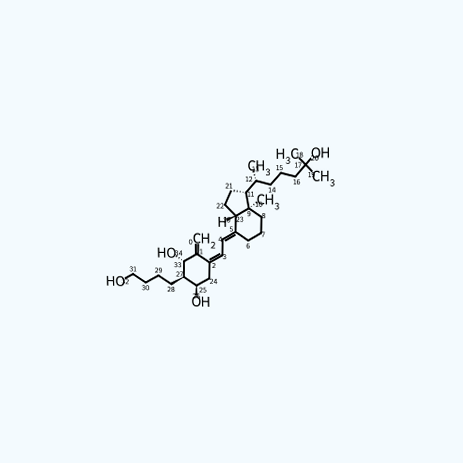 C=C1/C(=C\C=C2/CCC[C@]3(C)[C@@H]([C@H](C)CCCC(C)(C)O)CC[C@@H]23)C[C@@H](O)[C@@H](CCCCO)[C@@H]1O